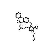 C=CCCc1cn(CCC=C)c(=O)n1Cc1ccc(-c2ccccc2)c(C(=O)O)c1